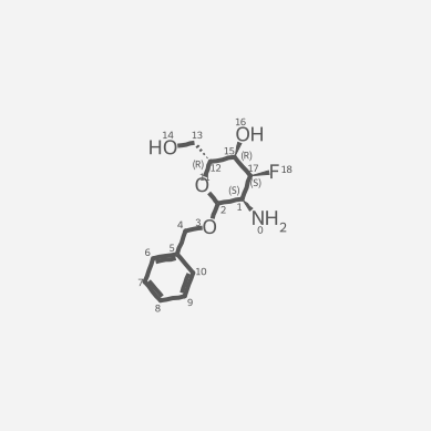 N[C@H]1C(OCc2ccccc2)O[C@H](CO)[C@@H](O)[C@H]1F